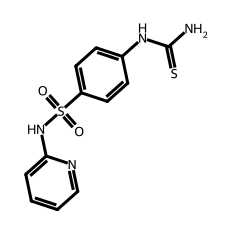 NC(=S)Nc1ccc(S(=O)(=O)Nc2ccccn2)cc1